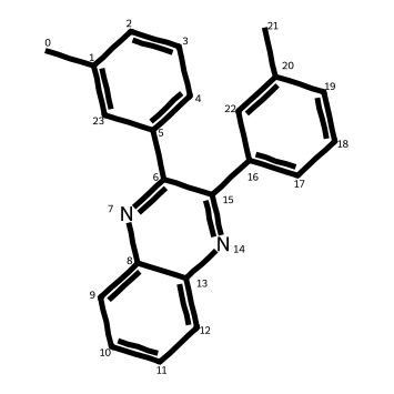 Cc1cccc(-c2nc3ccccc3nc2-c2cccc(C)c2)c1